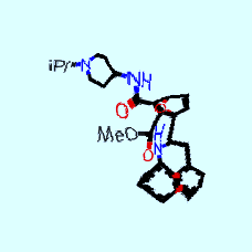 COC(=O)C1=C(C(=O)NC2CCN(C(C)C)CC2)C2C=CC1(C(Cc1ccccc1)Nc1ccccc1)O2